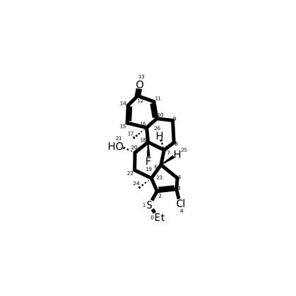 CCSC1=C(Cl)C[C@H]2[C@@H]3CCC4=CC(=O)C=C[C@]4(C)[C@@]3(F)[C@@H](O)C[C@]12C